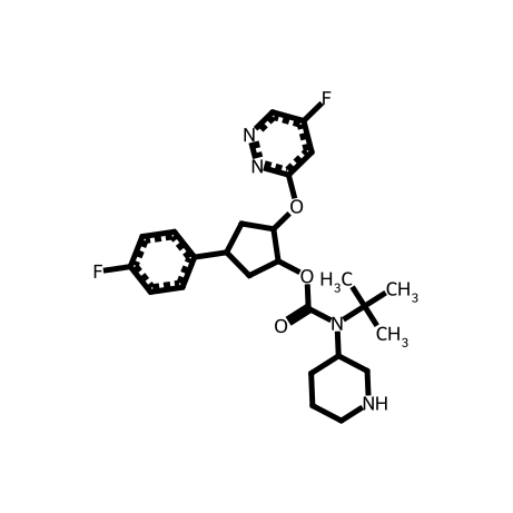 CC(C)(C)N(C(=O)OC1CC(c2ccc(F)cc2)CC1Oc1cc(F)cnn1)C1CCCNC1